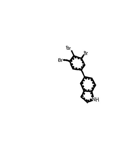 Brc1cc(-c2ccc3[nH][c]cc3c2)cc(Br)c1Br